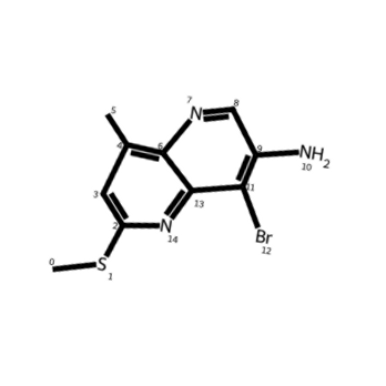 CSc1cc(C)c2ncc(N)c(Br)c2n1